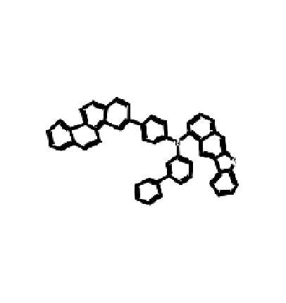 c1ccc(-c2cccc(N(c3ccc(-c4ccc5ccc6c7ccccc7ccc6c5c4)cc3)c3cccc4cc5sc6ccccc6c5cc34)c2)cc1